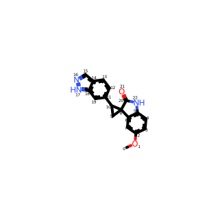 COc1ccc2c(c1)C1(CC1c1ccc3cn[nH]c3c1)C(=O)N2